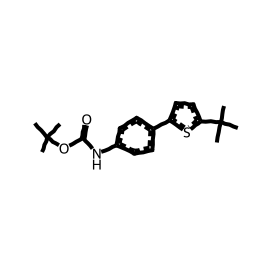 CC(C)(C)OC(=O)Nc1ccc(-c2ccc(C(C)(C)C)s2)cc1